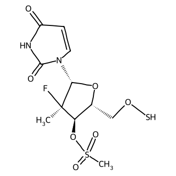 C[C@@]1(F)[C@H](OS(C)(=O)=O)[C@@H](COS)O[C@H]1n1ccc(=O)[nH]c1=O